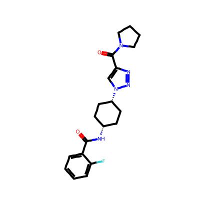 O=C(N[C@H]1CC[C@@H](n2cc(C(=O)N3CCCC3)nn2)CC1)c1ccccc1F